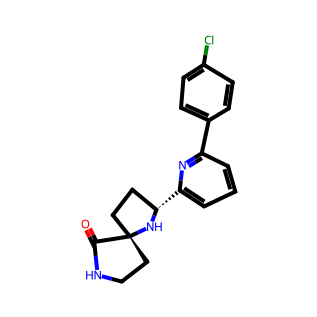 O=C1NCC[C@]12CC[C@H](c1cccc(-c3ccc(Cl)cc3)n1)N2